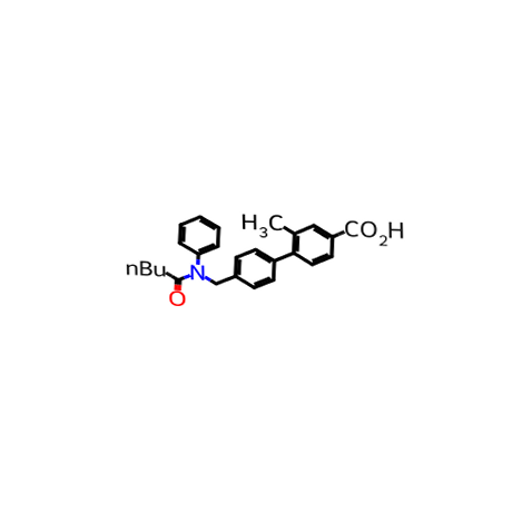 CCCCC(=O)N(Cc1ccc(-c2ccc(C(=O)O)cc2C)cc1)c1ccccc1